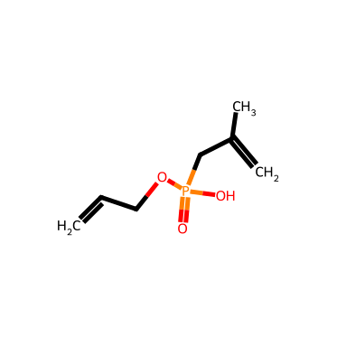 C=CCOP(=O)(O)CC(=C)C